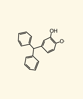 [O]c1ccc(C(c2ccccc2)c2ccccc2)cc1O